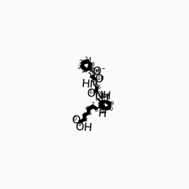 O=C(O)CCC/C=C\C[C@H]1[C@@H](CNC(=O)CNC(=O)C[S+]([O-])c2ccccc2)[C@H]2CC[C@@H]1S2